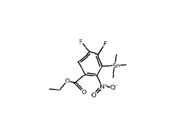 CCOC(=O)c1cc(F)c(F)[c]([Sn]([CH3])([CH3])[CH3])c1[N+](=O)[O-]